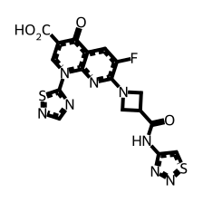 O=C(O)c1cn(-c2ncns2)c2nc(N3CC(C(=O)Nc4csnn4)C3)c(F)cc2c1=O